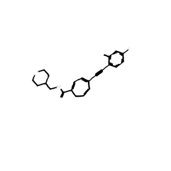 O=C(NCC1CCOCC1)C1=CC=C(C#Cc2ccc(F)cc2F)C=CC1